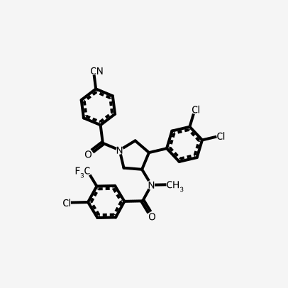 CN(C(=O)c1ccc(Cl)c(C(F)(F)F)c1)C1CN(C(=O)c2ccc(C#N)cc2)CC1c1ccc(Cl)c(Cl)c1